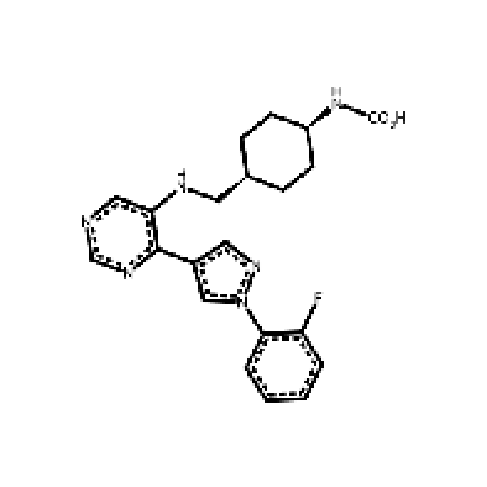 O=C(O)N[C@H]1CC[C@@H](CNc2cncnc2-c2cnn(-c3ccccc3F)c2)CC1